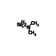 [CH3][Al]([CH3])[CH3].[Si]